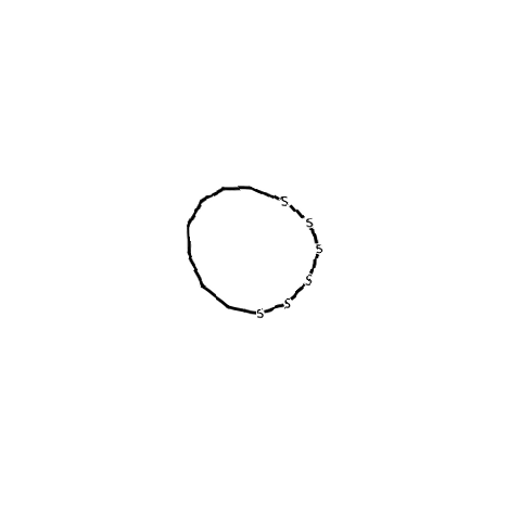 C1CCCSSSSSSCCC1